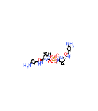 N[C@H]1CC[C@@H](c2nnc([C@@H]3CC4(CC4)[C@@H]4CN3C(=O)N4OS(=O)(=O)ON3C(=O)N4C[C@H]3C3(CC3)C[C@H]4c3nnc([C@@H]4CC[C@H](N)C4)o3)o2)C1